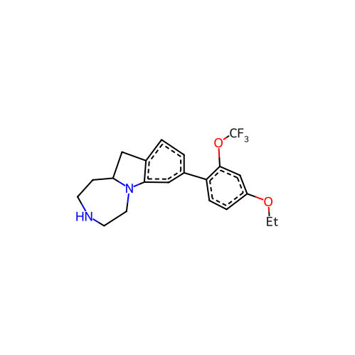 CCOc1ccc(-c2ccc3c(c2)N2CCNCCC2C3)c(OC(F)(F)F)c1